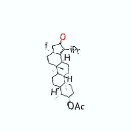 C=C[C@@]12CC[C@]3(C)[C@H](CC[C@@H]4[C@@]5(C)CC[C@H](OC(C)=O)[C@H](C)[C@@H]5CC[C@]43C)C1=C(C(C)C)C(=O)C2